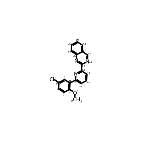 COc1ccc(Cl)cc1-c1cccc(-c2ncc3ccccc3n2)n1